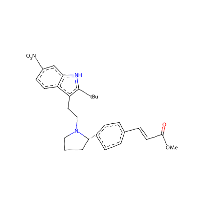 COC(=O)C=Cc1ccc([C@@H]2CCCN2CCc2c(C(C)(C)C)[nH]c3cc([N+](=O)[O-])ccc23)cc1